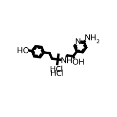 CC(C)(CCc1ccc(O)cc1)NCC(O)c1ccc(N)nc1.Cl.Cl